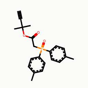 C#CC(C)(C)OC(=O)CP(=O)(c1ccc(C)cc1)c1ccc(C)cc1